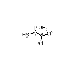 CNC(Cl)Cl.O